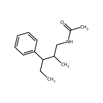 CCC(c1ccccc1)C(C)CNC(C)=O